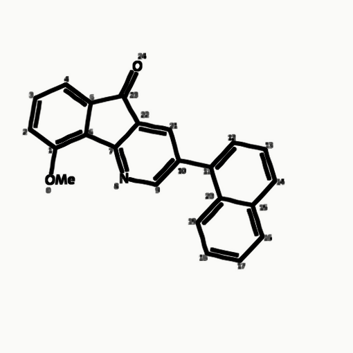 COc1cccc2c1-c1ncc(-c3cccc4ccccc34)cc1C2=O